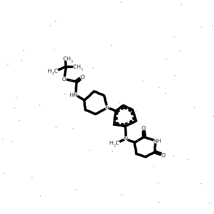 CN(c1cccc(N2CCC(NC(=O)OC(C)(C)C)CC2)c1)C1CCC(=O)NC1=O